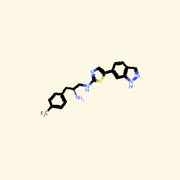 N[C@H](CNc1ncc(-c2ccc3cn[nH]c3c2)s1)Cc1ccc(C(F)(F)F)cc1